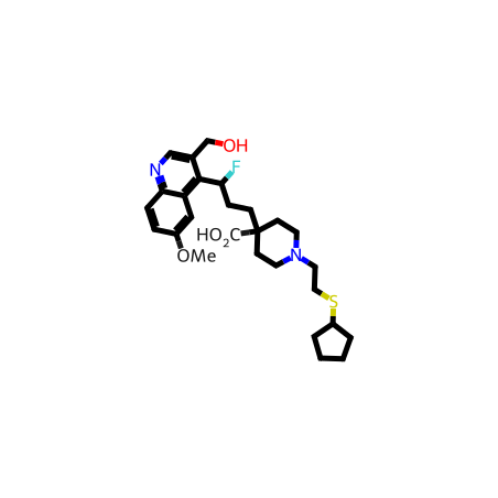 COc1ccc2ncc(CO)c(C(F)CCC3(C(=O)O)CCN(CCSC4CCCC4)CC3)c2c1